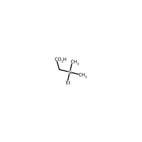 CC[Si](C)(C)CC(=O)O